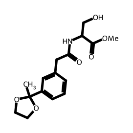 COC(=O)C(CO)NC(=O)Cc1cccc(C2(C)OCCO2)c1